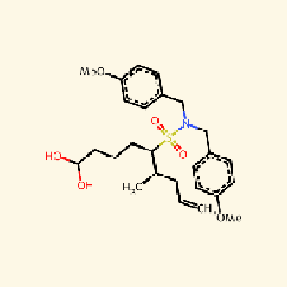 C=CC[C@@H](C)[C@@H](CCCC(O)O)S(=O)(=O)N(Cc1ccc(OC)cc1)Cc1ccc(OC)cc1